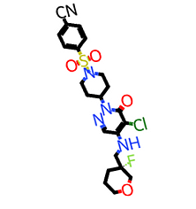 N#Cc1ccc(S(=O)(=O)N2CCC(n3ncc(NC[C@]4(F)CCCOC4)c(Cl)c3=O)CC2)cc1